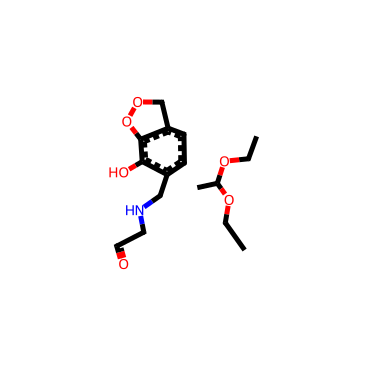 CCOC(C)OCC.O=CCNCc1ccc2c(c1O)OOC2